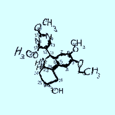 CCOc1cc2c(cc1OC)=C(c1cnc(OC)nc1OC)N[C@@H]1CC[C@@H](O)CC=21